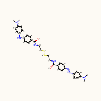 CN(C)c1ccc(/N=N/c2ccc(C(=O)NCCSSCCNC(=O)c3ccc(Nc4ccc(N(C)C)cc4)cc3)cc2)cc1